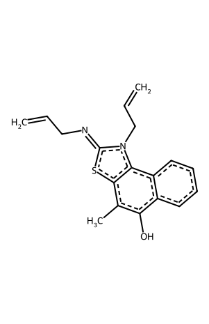 C=CC/N=c1\sc2c(C)c(O)c3ccccc3c2n1CC=C